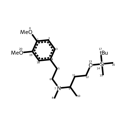 COc1ccc(CCN(C)C(C)CCO[Si](C)(C)C(C)(C)C)cc1OC